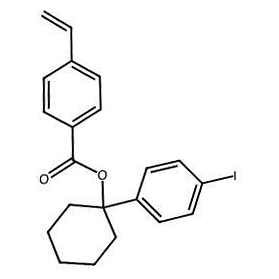 C=Cc1ccc(C(=O)OC2(c3ccc(I)cc3)CCCCC2)cc1